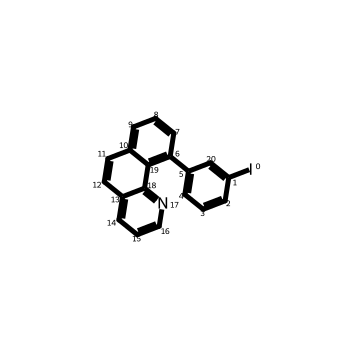 Ic1cccc(-c2cccc3ccc4cccnc4c23)c1